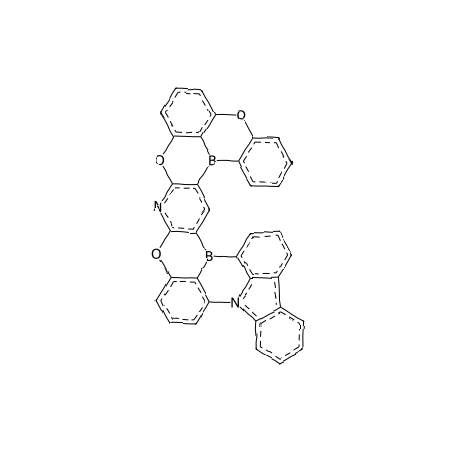 c1ccc2c(c1)Oc1cccc3c1B2c1cc2c(nc1O3)Oc1cccc3c1B2c1cccc2c4ccccc4n-3c12